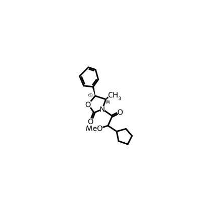 COC(C(=O)N1C(=O)O[C@@H](c2ccccc2)[C@H]1C)C1CCCC1